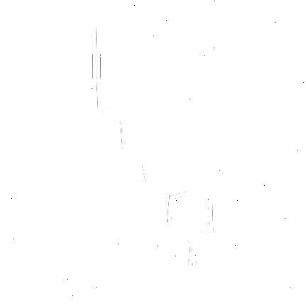 CC#CCCCCOc1cccc(NC)c1